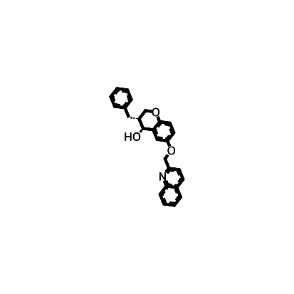 O[C@@H]1c2cc(OCc3ccc4ccccc4n3)ccc2OC[C@H]1Cc1ccccc1